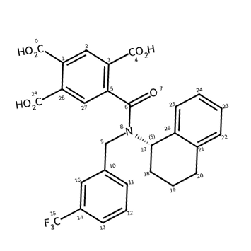 O=C(O)c1cc(C(=O)O)c(C(=O)N(Cc2cccc(C(F)(F)F)c2)[C@H]2CCCc3ccccc32)cc1C(=O)O